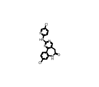 O=C1Cc2cnc(Nc3ccc(Cl)cn3)nc2-c2ccc(Cl)cc2N1